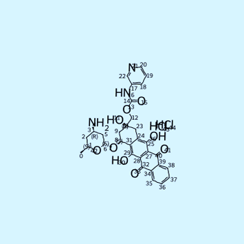 C[C@H]1C[C@@H](N)C[C@H](O[C@H]2C[C@](O)(COC(=O)Nc3cccnc3)Cc3c(O)c4c(c(O)c32)C(=O)c2ccccc2C4=O)O1.Cl.Cl